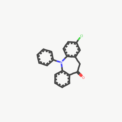 O=C1Cc2cc(Cl)ccc2N(c2ccccc2)c2ccccc21